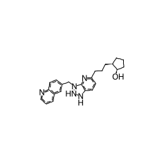 O[C@@H]1CCC[C@@H]1CCCc1ccc2c(n1)N(Cc1ccc3ncccc3c1)NN2